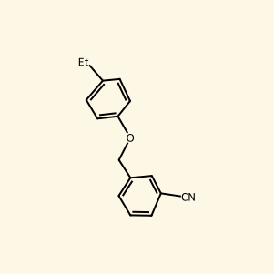 CCc1ccc(OCc2cccc(C#N)c2)cc1